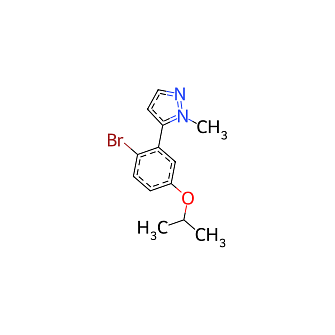 CC(C)Oc1ccc(Br)c(-c2ccnn2C)c1